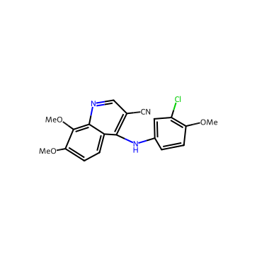 COc1ccc(Nc2c(C#N)cnc3c(OC)c(OC)ccc23)cc1Cl